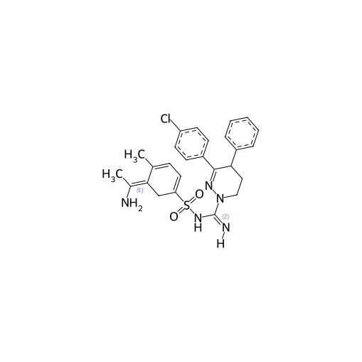 [H]/N=C(\NS(=O)(=O)C1=CC=C(C)/C(=C(\C)N)C1)N1CCC(c2ccccc2)C(c2ccc(Cl)cc2)=N1